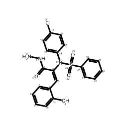 NNC(=O)C(=Cc1ccccc1O)N(c1ccc(Cl)cc1)S(=O)(=O)c1ccccc1